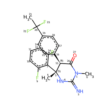 CN1C(=N)N[C@](C)(c2c(F)cccc2F)[C@@H](c2ccc(C(C)(F)F)cc2)C1=O